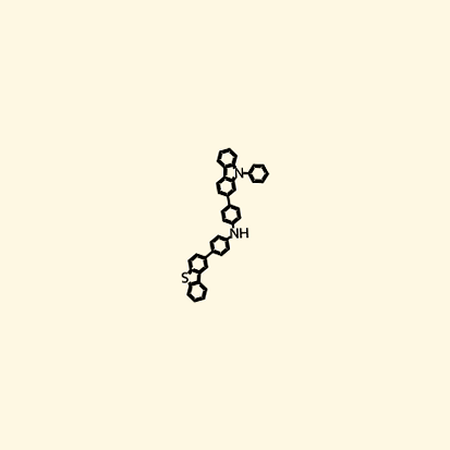 c1ccc(-n2c3ccccc3c3ccc(-c4ccc(Nc5ccc(-c6ccc7sc8ccccc8c7c6)cc5)cc4)cc32)cc1